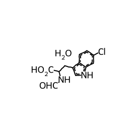 O.O=CNC(Cc1c[nH]c2cc(Cl)ccc12)C(=O)O